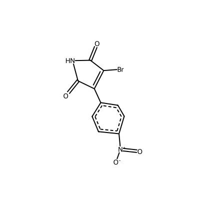 O=C1NC(=O)C(c2ccc([N+](=O)[O-])cc2)=C1Br